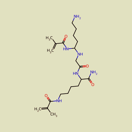 C=C(C)C(=O)NCCCCC(NC(=O)CNC(CCCCN)NC(=O)C(=C)C)C(N)=O